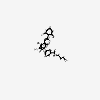 CC1(C)[C@H]2CC[C@]1(c1cncc(C(=O)NCCCO)n1)c1nnc(-c3c(F)cccc3F)cc12